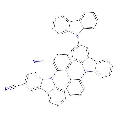 N#Cc1ccc2c(c1)c1ccccc1n2-c1c(C#N)cccc1-c1ccccc1-n1c2ccccc2c2cc(-n3c4ccccc4c4ccccc43)ccc21